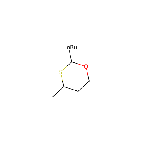 CCCCC1OCCC(C)S1